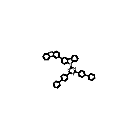 c1ccc(-c2ccc(-c3nc(-c4ccc(-c5ccccc5)cc4)nc(-n4c5ccccc5c5cc(-c6ccc7sc8ccccc8c7c6)ccc54)n3)cc2)cc1